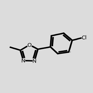 Cc1nnc(-c2c[c]c(Cl)cc2)o1